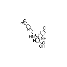 O=C(O)c1cnc(NCCNc2ccc([N+](=O)[O-])cn2)nc1Nc1ccc(Cl)cc1Cl